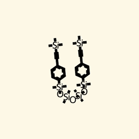 C[Si](C)(C)C#Cc1ccc([Si](C)(C)O[Si](C)(C)O[Si](C)(C)O[Si](C)(C)c2ccc(C#C[Si](C)(C)C)cc2)cc1